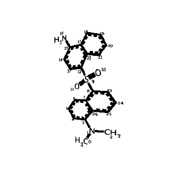 CN(C)c1cccc2c(S(=O)(=O)c3ccc(N)c4ccccc34)cccc12